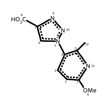 COc1ccc(-n2cc(C(=O)O)nn2)c(C)n1